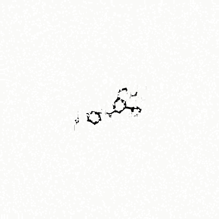 CC(C)N1CCc2cc(C(=O)Nc3ccc(OC(F)(F)F)cc3)cc(-c3ccn[nH]3)c21